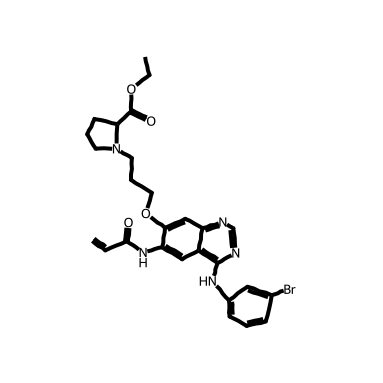 C=CC(=O)Nc1cc2c(Nc3cccc(Br)c3)ncnc2cc1OCCCN1CCCC1C(=O)OCC